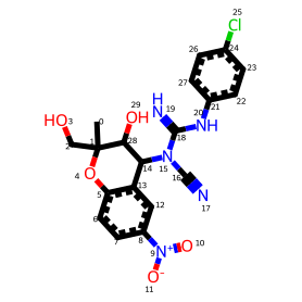 CC1(CO)Oc2ccc([N+](=O)[O-])cc2C(N(C#N)C(=N)Nc2ccc(Cl)cc2)C1O